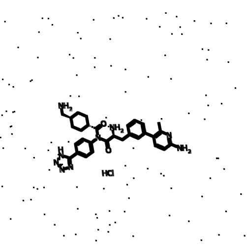 Cc1nc(N)ccc1-c1cccc(C[C@H](N)C(=O)N(c2ccc(-c3nnn[nH]3)cc2)C(=O)[C@H]2CC[C@H](CN)CC2)c1.Cl